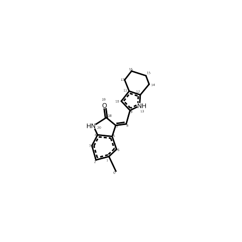 Cc1ccc2c(c1)/C(=C/c1cc3c([nH]1)CCCC3)C(=O)N2